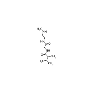 CNCCNC(=O)CNC(=O)C(N)C(C)C